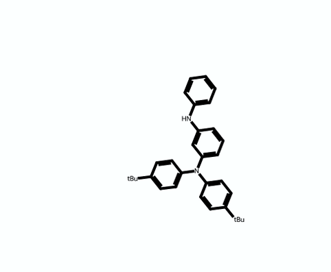 CC(C)(C)c1ccc(N(c2ccc(C(C)(C)C)cc2)c2cccc(Nc3ccccc3)c2)cc1